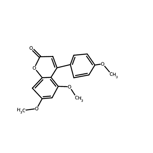 COc1ccc(-c2cc(=O)oc3cc(OC)cc(OC)c23)cc1